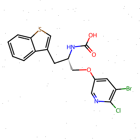 O=C(O)N[C@H](COc1cnc(Cl)c(Br)c1)Cc1csc2ccccc12